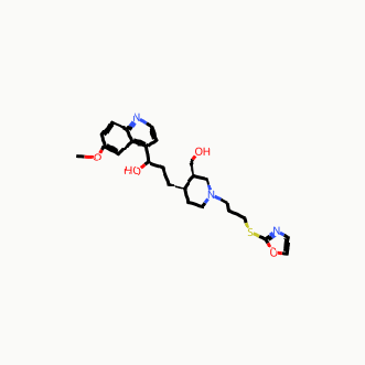 COc1ccc2nccc(C(O)CC[C@@H]3CCN(CCCSc4ncco4)C[C@@H]3CO)c2c1